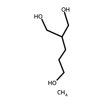 C.OCCCC(CO)CO